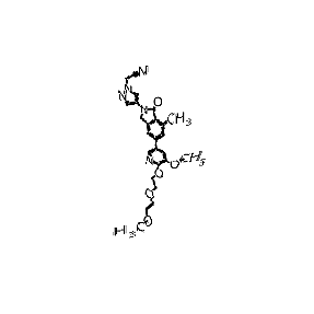 COCCOCCOc1ncc(-c2cc(C)c3c(c2)CN(c2cnn(CC#N)c2)C3=O)cc1OC